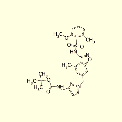 COc1cccc(C)c1S(=O)(=O)Nc1noc2cc(Cn3ccc(CNC(=O)OC(C)(C)C)n3)cc(C)c12